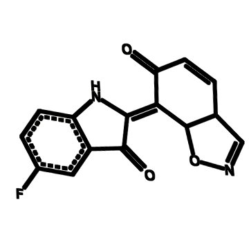 O=C1C=CC2C=NOC2/C1=C1/Nc2ccc(F)cc2C1=O